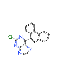 Clc1nc(-c2cc3ccccc3c3ccccc23)c2nccnc2n1